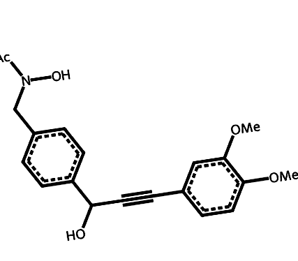 COc1ccc(C#CC(O)c2ccc(CN(O)C(C)=O)cc2)cc1OC